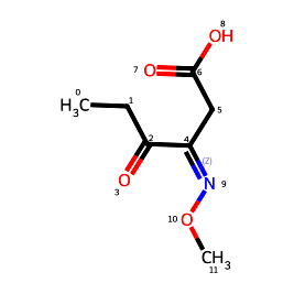 CCC(=O)/C(CC(=O)O)=N\OC